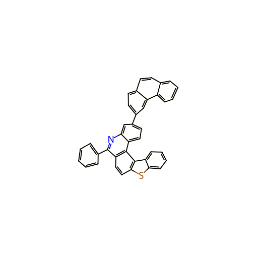 c1ccc(-c2nc3cc(-c4ccc5ccc6ccccc6c5c4)ccc3c3c2ccc2sc4ccccc4c23)cc1